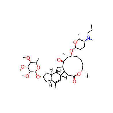 CCCN(C)[C@H]1CC[C@H](O[C@H]2CCC[C@H](CC)OC(=O)C[C@@H]3C(=C[C@@H]4[C@H]3C=C(C)[C@@H]3C[C@@H](O[C@@H]5OC(C)[C@H](OC)[C@@H](OC)C5OC)C[C@@H]43)C(=O)[C@@H]2C)OC1C